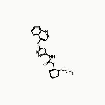 COc1ccccc1CC(=O)Nc1nnc(Sc2ccnc3ccccc23)s1